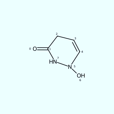 O=C1CC=CN(O)N1